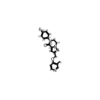 Cc1cnccc1OCc1cc2n(n1)CCN(c1ccc(F)cc1)C2=O